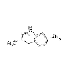 Cc1ccc(CC(C)C)c(O)c1